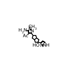 CC(=O)c1c(C2CC3CC(O)(c4cc[nH]n4)CC3C2)nn(C)c1N